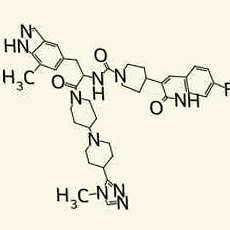 Cc1cc(CC(NC(=O)N2CCC(c3cc4ccc(F)cc4[nH]c3=O)CC2)C(=O)N2CCC(N3CCC(c4nncn4C)CC3)CC2)cc2cn[nH]c12